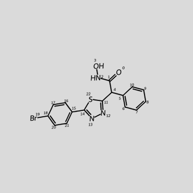 O=C(NO)C(c1ccccc1)c1nnc(-c2ccc(Br)cc2)s1